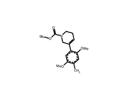 COc1cc(C2=CCCN(C(=O)OC(C)(C)C)C2)c(OC)cc1C